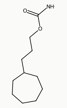 [NH]C(=O)OCCCC1CCCCCC1